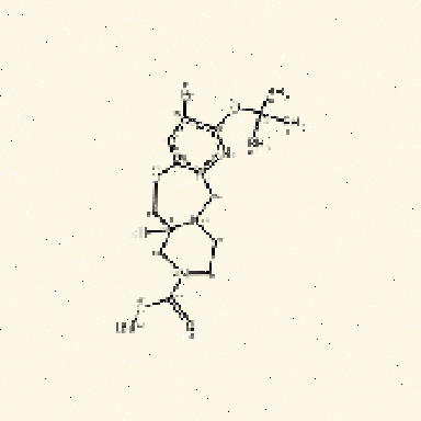 BC(B)(B)Oc1nc2c(cc1Br)OC[C@H]1CN(C(=O)OC(C)(C)C)CCN1C2